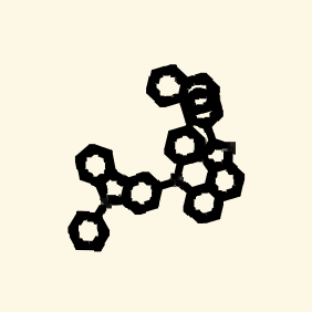 c1ccc(-c2nc3ccc4cccc(N(c5ccc(-c6cccc7ccccc67)cc5)c5ccc6c(c5)c5ccccc5n6-c5ccccc5)c4c3o2)cc1